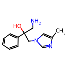 Cc1cn(CC(O)(CN)c2ccccc2)cn1